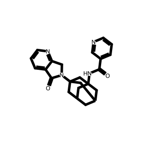 O=C(NC12CC3CC(C1)CC(N1Cc4ncccc4C1=O)(C3)C2)c1cccnc1